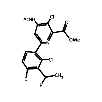 COC(=O)c1nc(-c2ccc(Cl)c(C(C)F)c2Cl)cc(NC(C)=O)c1Cl